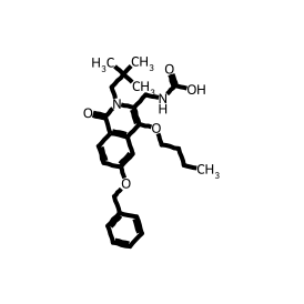 CCCCOc1c(CNC(=O)O)n(CC(C)(C)C)c(=O)c2ccc(OCc3ccccc3)cc12